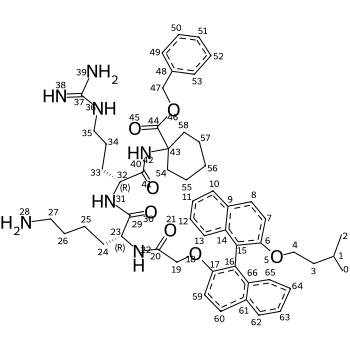 CC(C)CCOc1ccc2ccccc2c1-c1c(OCC(=O)N[C@H](CCCCN)C(=O)N[C@H](CCCNC(=N)N)C(=O)NC2(C(=O)OCc3ccccc3)CCCCC2)ccc2ccccc12